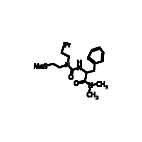 CSCCN(CCC(C)C)C(=O)NC(Cc1ccccc1)C(=O)N(C)C